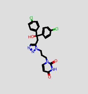 O=c1ccn(CCCn2nncc2CC(O)(c2ccc(Cl)cc2)c2ccc(Cl)cc2)c(=O)[nH]1